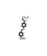 COc1ccc(COc2ccc([C@@H](C)CC(=O)O)cc2)cc1